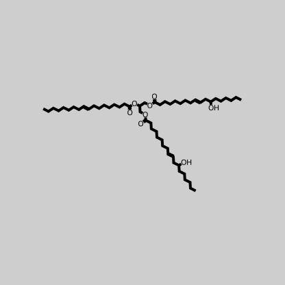 CCCCCCCC/C=C/CCCCCCCC(=O)OC(COC(=O)CCCCCCC/C=C/CC(O)CCCCCC)COC(=O)CCCCCCC/C=C/CC(O)CCCCCC